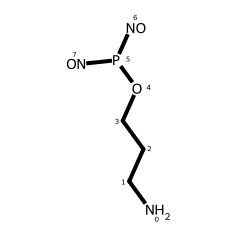 NCCCOP(N=O)N=O